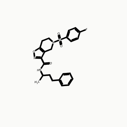 CC(CCc1ccccc1)NC(=O)c1noc2c1CN(S(=O)(=O)c1ccc(F)cc1)CC2